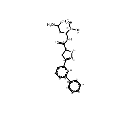 CC(C)C[C@H](NC(=O)C1CC(c2cccc(-c3ccccc3)n2)=NO1)B(O)O